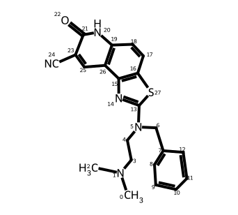 CN(C)CCN(Cc1ccccc1)c1nc2c(ccc3[nH]c(=O)c(C#N)cc32)s1